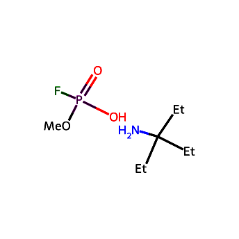 CCC(N)(CC)CC.COP(=O)(O)F